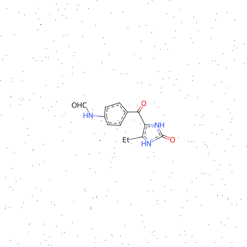 CCc1[nH]c(=O)[nH]c1C(=O)c1ccc(NC=O)cc1